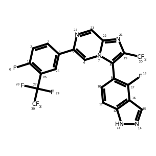 Fc1ccc(-c2cn3c(-c4ccc5[nH]ncc5c4F)c(C(F)(F)F)nc3cn2)cc1C(F)(F)C(F)(F)F